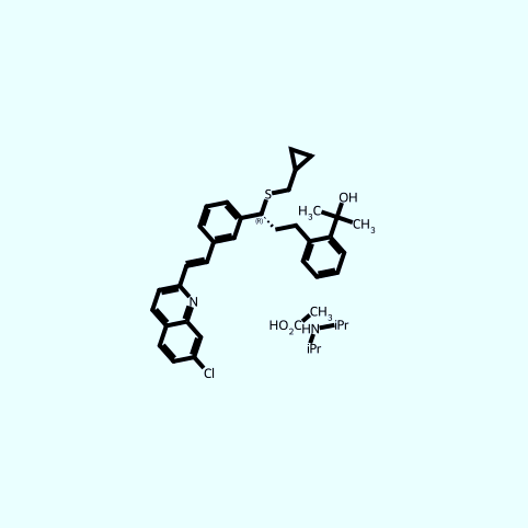 CC(=O)O.CC(C)(O)c1ccccc1CC[C@@H](SCC1CC1)c1cccc(C=Cc2ccc3ccc(Cl)cc3n2)c1.CC(C)NC(C)C